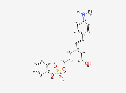 CCN(C)c1ccc(/C=C/C(CCO)CCCOS(=O)(=O)Oc2ccccc2)cc1